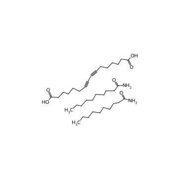 CCCCCCCCCC(N)=O.CCCCCCCCCC(N)=O.O=C(O)CCCCCC#CC#CCCCCCC(=O)O